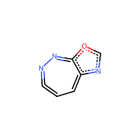 C1=CC=c2ncoc2=NN=1